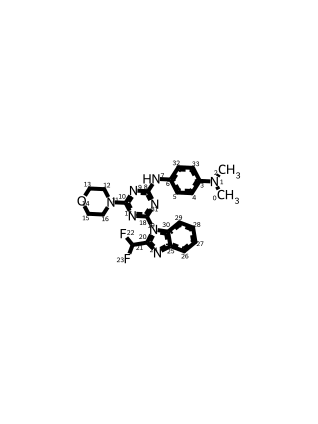 CN(C)c1ccc(Nc2nc(N3CCOCC3)nc(-n3c(C(F)F)nc4ccccc43)n2)cc1